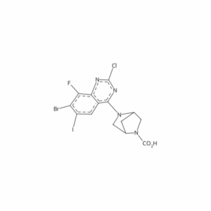 O=C(O)N1CC2CC1CN2c1nc(Cl)nc2c(F)c(Br)c(I)cc12